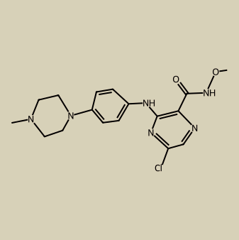 CONC(=O)c1ncc(Cl)nc1Nc1ccc(N2CCN(C)CC2)cc1